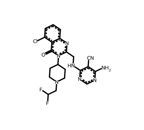 N#Cc1c(N)ncnc1NCc1nc2cccc(Cl)c2c(=O)n1C1CCN(CC(F)F)CC1